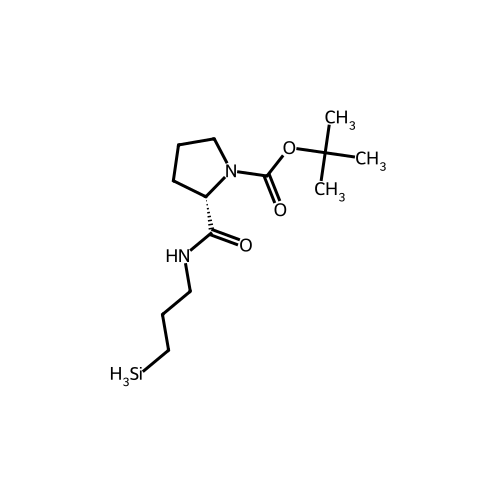 CC(C)(C)OC(=O)N1CCC[C@H]1C(=O)NCCC[SiH3]